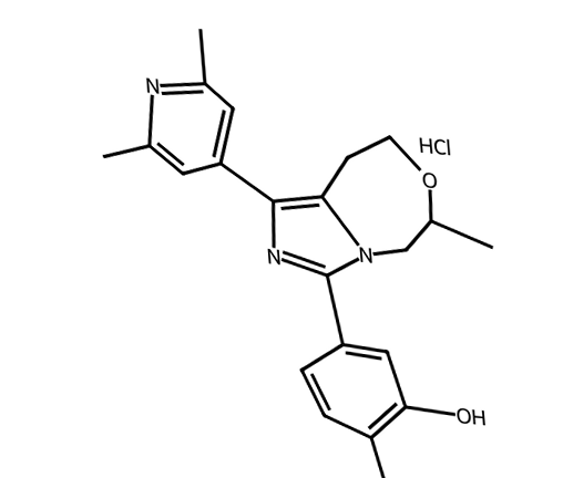 Cc1cc(-c2nc(-c3ccc(F)c(O)c3)n3c2CCOC(C)C3)cc(C)n1.Cl